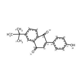 CC(C)(C)c1ccc2c(c1)C(=O)C=C(c1ccc(O)cc1)C2=O